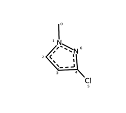 Cn1c[c]c(Cl)n1